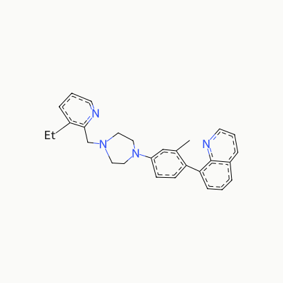 CCc1cccnc1CN1CCN(c2ccc(-c3cccc4cccnc34)c(C)c2)CC1